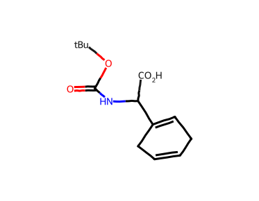 CC(C)(C)OC(=O)NC(C(=O)O)C1=CCC=CC1